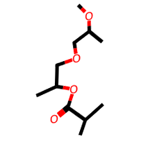 COC(C)COCC(C)OC(=O)C(C)C